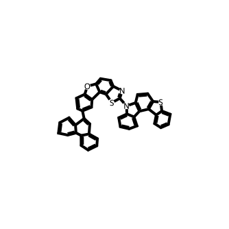 c1ccc2c(c1)cc(-c1ccc3oc4ccc5nc(-n6c7ccccc7c7c8c(ccc76)sc6ccccc68)sc5c4c3c1)c1ccccc12